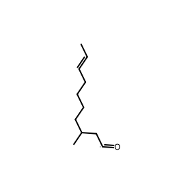 CC=CCCCCC(C)C[C]=O